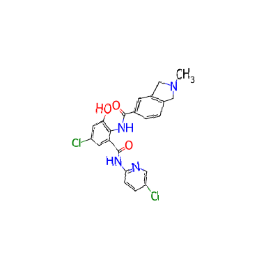 CN1Cc2ccc(C(=O)Nc3c(O)cc(Cl)cc3C(=O)Nc3ccc(Cl)cn3)cc2C1